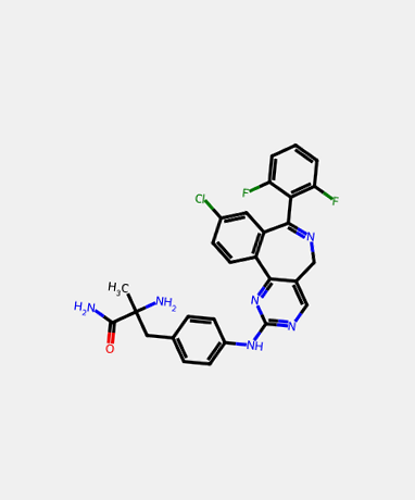 CC(N)(Cc1ccc(Nc2ncc3c(n2)-c2ccc(Cl)cc2C(c2c(F)cccc2F)=NC3)cc1)C(N)=O